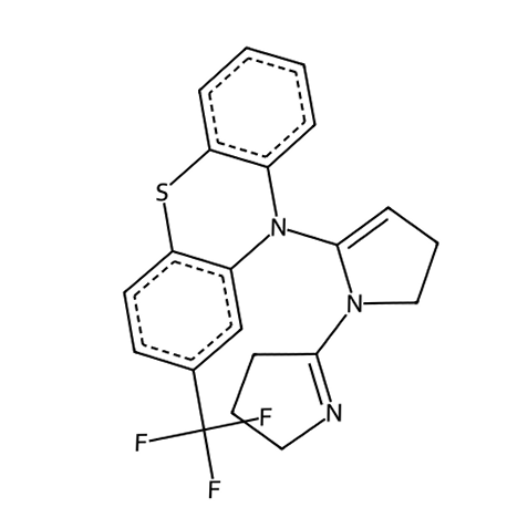 FC(F)(F)c1ccc2c(c1)N(C1=CCCN1C1=NCCC1)c1ccccc1S2